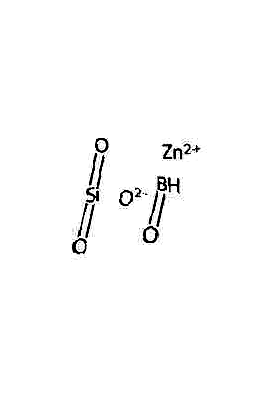 B=O.O=[Si]=O.[O-2].[Zn+2]